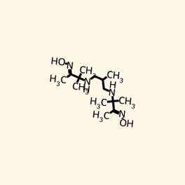 C/C(=N\O)C(C)(C)NCC(C)CNC(C)(C)/C(C)=N/O